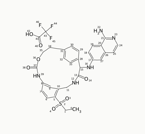 CCS(=O)(=O)c1ccc2cc1CNC(=O)C(Nc1ccc3c(N)nccc3c1)c1ccc(cc1)CCOC(=O)N2.O=C(O)C(F)(F)F